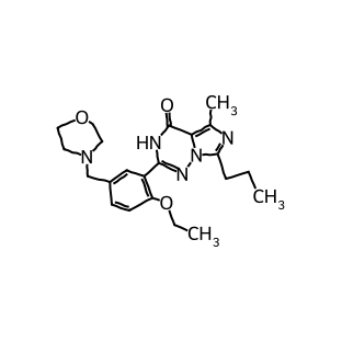 CCCc1nc(C)c2c(=O)[nH]c(-c3cc(CN4CCOCC4)ccc3OCC)nn12